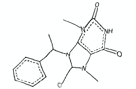 CC(c1ccccc1)N1c2c(c(=O)[nH]c(=O)n2C)N(C)C1Cl